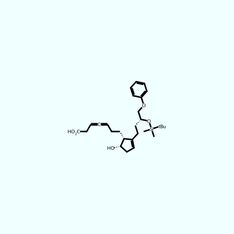 CC(C)(C)[Si](C)(C)O[C@H](CCC1=CC[C@H](O)[C@@H]1CCC=C=CCC(=O)O)COc1ccccc1